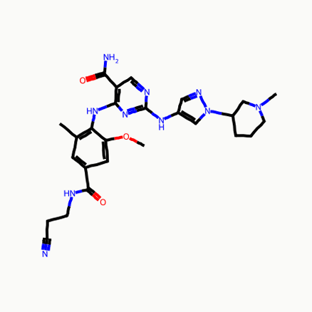 COc1cc(C(=O)NCCC#N)cc(C)c1Nc1nc(Nc2cnn(C3CCCN(C)C3)c2)ncc1C(N)=O